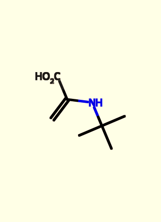 C=C(NC(C)(C)C)C(=O)O